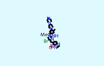 COc1cc(N2CCC(N3CCN(C)CC3)CC2)c(C)cc1Nc1ncc(Br)c(Cc2ccc3nccnc3c2P(C)(C)=O)n1